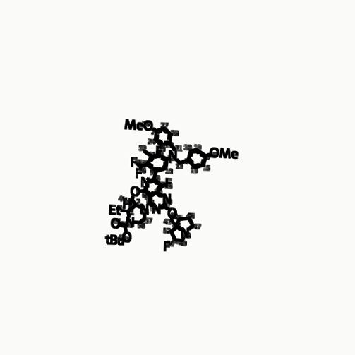 CC[C@H]1[C@H]2[C@H](C)Oc3nc(-c4cc(N(Cc5ccc(OC)cc5)Cc5ccc(OC)cc5)c(F)c(C)c4C(F)F)c(F)c4nc(OC[C@@]56CCCN5C[C@H](F)C6)nc(c34)N2CCN1C(=O)OC(C)(C)C